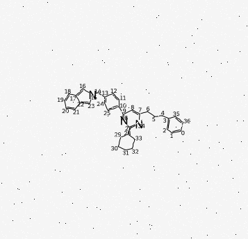 c1ccc(CCCc2cc(-c3ccc(Cn4cc5ccccc5c4)cc3)nc(C3CCCCC3)n2)cc1